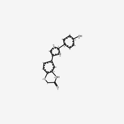 O=C1COc2ccc(-c3csc(-c4ccc(O)cc4)n3)cc2N1